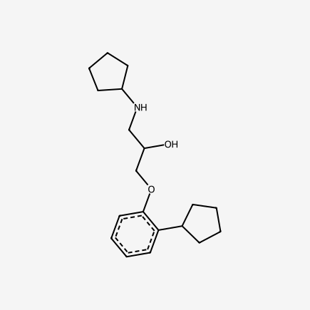 OC(CNC1CCCC1)COc1ccccc1C1CCCC1